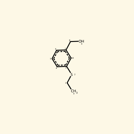 CCSc1cccc([CH]O)c1